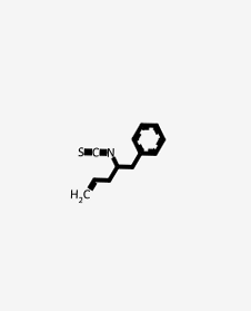 C=CCC(Cc1ccccc1)N=C=S